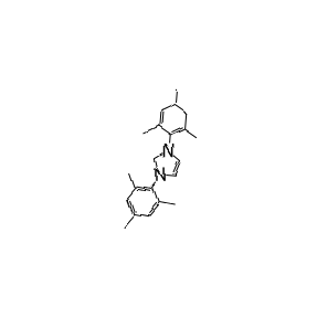 CC1=CC(C)CC(C)=C1N1C=CN(c2c(C)cc(C)cc2C)C1